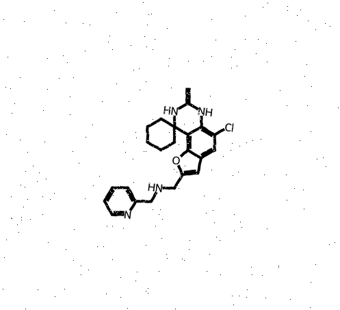 C=C1Nc2c(Cl)cc3cc(CNCc4ccccn4)oc3c2C2(CCCCC2)N1